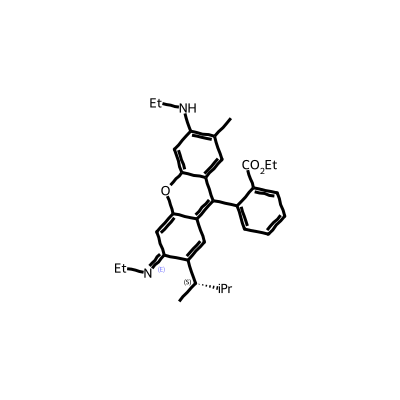 CC/N=c1\cc2oc3cc(NCC)c(C)cc3c(-c3ccccc3C(=O)OCC)c-2cc1[C@@H](C)C(C)C